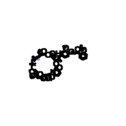 CCC1/C=C(\C)CC(C)CC(OC)C2OC(O)(C(=O)C(=O)N3CCCCC3C(=O)OC(C(C)=CC3CCC(OCC(OC(C)=O)c4ccccc4)C(OC)C3)C(C)C(O)CC1=O)C(C)CC2OC